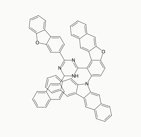 c1ccc2cc(C3N=C(c4ccc5c(c4)oc4ccccc45)N=C(c4c(-n5c6cc7ccccc7cc6c6cc7ccccc7cc65)ccc5oc6cc7ccccc7cc6c45)N3)ccc2c1